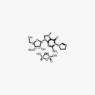 CO[C@H]1[C@@H](O)[C@H](N2CN(C)c3c2nc(N)n(N2C=NCC2)c3=O)O[C@@H]1CO.O=P(O)(O)OP(=O)(O)O